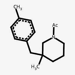 CC(=O)N1CCCC(C)(Cc2ccc(C)cc2)C1